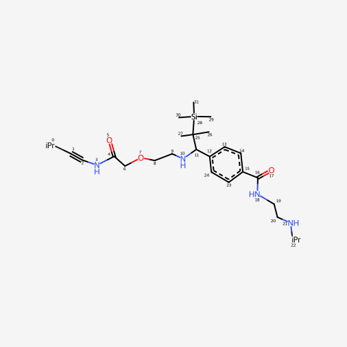 CC(C)C#CNC(=O)COCCNC(c1ccc(C(=O)NCCNC(C)C)cc1)C(C)(C)[Si](C)(C)C